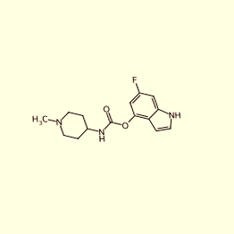 CN1CCC(NC(=O)Oc2cc(F)cc3[nH]ccc23)CC1